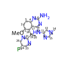 COc1ccc2nc(N)nc(Nc3cn(C)cn3)c2c1[C@@H](C)c1ncc(F)cn1